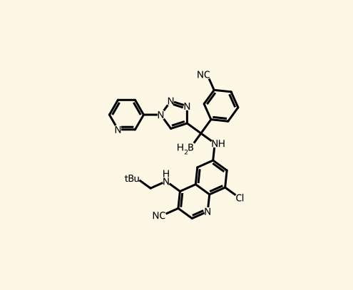 BC(Nc1cc(Cl)c2ncc(C#N)c(NCC(C)(C)C)c2c1)(c1cccc(C#N)c1)c1cn(-c2cccnc2)nn1